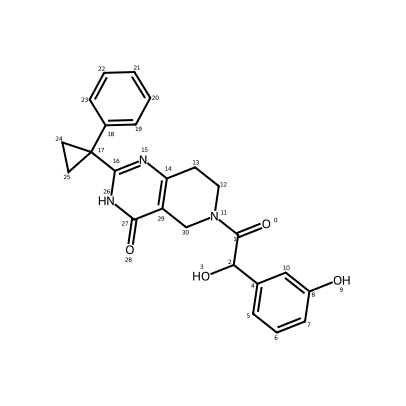 O=C(C(O)c1cccc(O)c1)N1CCc2nc(C3(c4ccccc4)CC3)[nH]c(=O)c2C1